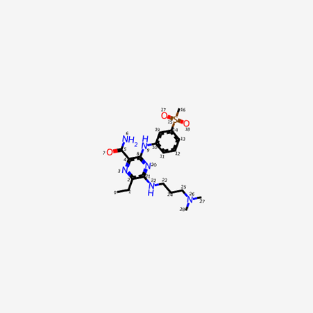 CCc1nc(C(N)=O)c(Nc2cccc(S(C)(=O)=O)c2)nc1NCCCN(C)C